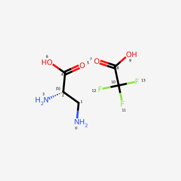 NC[C@H](N)C(=O)O.O=C(O)C(F)(F)F